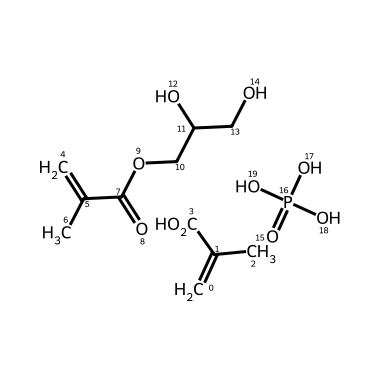 C=C(C)C(=O)O.C=C(C)C(=O)OCC(O)CO.O=P(O)(O)O